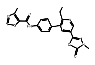 CCc1ncc(-c2nn(C)c(=O)o2)cc1-c1ccc(NC(=O)c2snnc2C)cc1